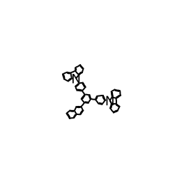 c1ccc2cc(-c3cc(-c4ccc(-n5c6ccccc6c6ccccc65)cc4)cc(-c4ccc(-n5c6ccccc6c6ccccc65)cc4)c3)ccc2c1